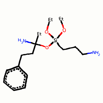 CCO[Si](CCCN)(OCC)OC(N)(CC)CCc1ccccc1